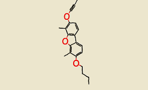 CC#COc1ccc2c(oc3c(C)c(OCCCC)ccc32)c1C